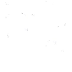 Cc1cncc(-c2nnc3c(C)nc4ccccc4n23)c1